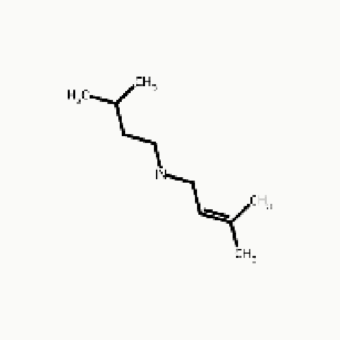 CC(C)=CCNCCC(C)C